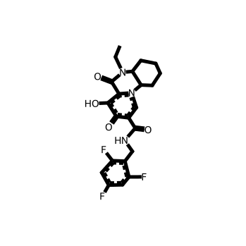 CCN1C(=O)c2c(O)c(=O)c(C(=O)NCc3c(F)cc(F)cc3F)cn2C2CCCCC21